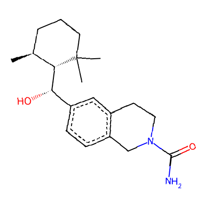 C[C@H]1CCCC(C)(C)[C@@H]1[C@@H](O)c1ccc2c(c1)CCN(C(N)=O)C2